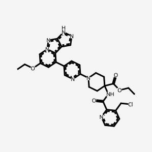 CCOC(=O)C1(NC(=O)c2ncccc2CCl)CCN(c2ccc(-c3cc(OCC)cn4nc5[nH]ncc5c34)cn2)CC1